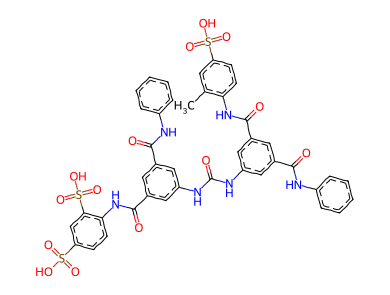 Cc1cc(S(=O)(=O)O)ccc1NC(=O)c1cc(NC(=O)Nc2cc(C(=O)Nc3ccccc3)cc(C(=O)Nc3ccc(S(=O)(=O)O)cc3S(=O)(=O)O)c2)cc(C(=O)Nc2ccccc2)c1